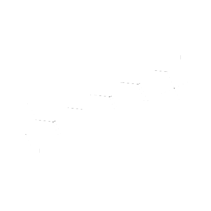 CCC(C)C(=O)OCOC(=O)CC(=O)OC(C)C(F)(F)F